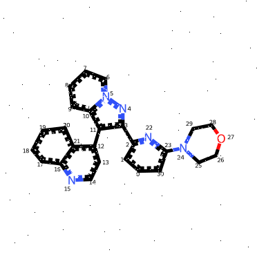 c1cc(-c2nn3ccccc3c2-c2ccnc3ccccc23)nc(N2CCOCC2)c1